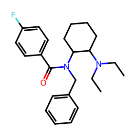 CCN(CC)C1CCCCC1N(Cc1ccccc1)C(=O)c1ccc(F)cc1